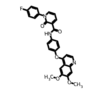 COc1cc2nccc(Oc3ccc(NC(=O)c4cccn(-c5ccc(F)cc5)c4=O)cc3)c2cc1OC